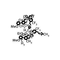 CCOC(=O)C[C@H](NC(=O)C(CC(C)C)n1cc(CCN2CC(C)C2)c(C(F)(F)F)cc1=O)c1cc(-c2c(C)ccc(OC)c2C)cc(C)c1F.COc1ccc(C)c(-c2cc(C)c(F)c([C@H](CC(=O)O)NC(=O)C(CC(C)C)n3cc(CCN4CC(C)C4)c(C(F)(F)F)cc3=O)c2)c1C